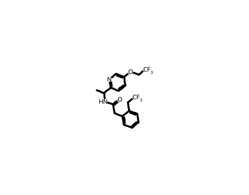 CC(NC(=O)Cc1ccccc1CC(F)(F)F)c1ccc(OCC(F)(F)F)cn1